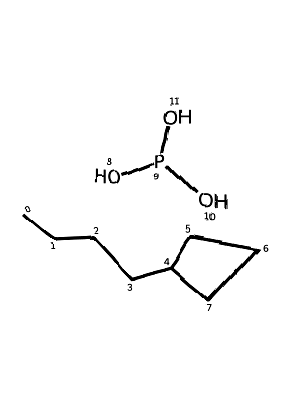 CCCCC1CCC1.OP(O)O